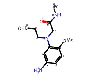 CNc1ccc(N)cc1N(CCC=O)CC(=O)NC(C)C